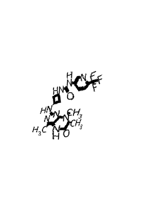 Cc1nc(N[C@H]2C[C@H](NC(=O)Nc3ccc(C(F)(F)F)nc3)C2)nc2c1NC(=O)[C@H](C)N2C